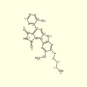 COc1cc2c(cc1CCCCO)oc1cc(-c3ccccc3Cl)c3c(c12)C(=O)NC3=O